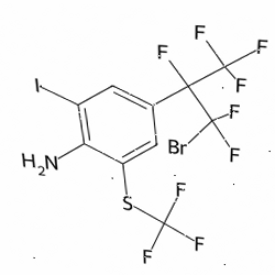 Nc1c(I)cc(C(F)(C(F)(F)F)C(F)(F)Br)cc1SC(F)(F)F